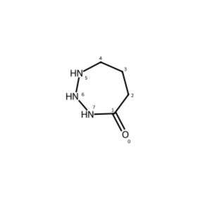 O=C1CCCNNN1